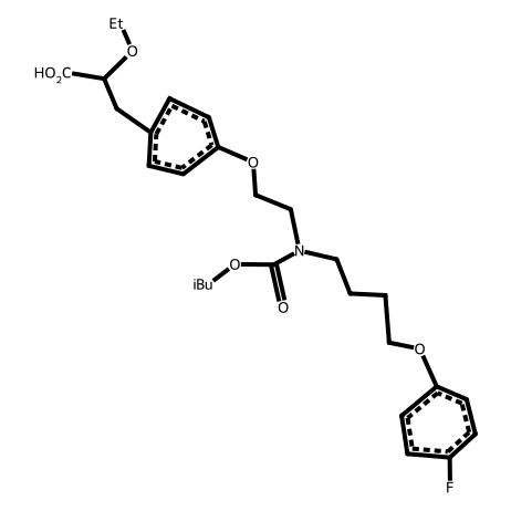 CCOC(Cc1ccc(OCCN(CCCCOc2ccc(F)cc2)C(=O)OC(C)CC)cc1)C(=O)O